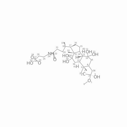 CO[C@@]1(O)CC[C@@]2(C)C(CC(O)(O)[C@H]3[C@@H]4CC[C@H]([C@H](C)CCC(=O)NCCS(=O)(=O)O)[C@@]4(C)C(O)(O)C[C@@H]32)C1